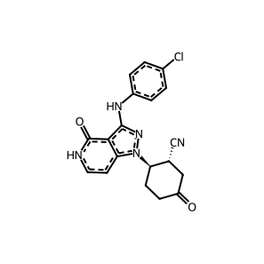 N#C[C@@H]1CC(=O)CC[C@H]1n1nc(Nc2ccc(Cl)cc2)c2c(=O)[nH]ccc21